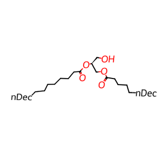 CCCCCCCCCCCCCCCCCC(=O)O[C@@H](CO)COC(=O)CCCCCCCCCCCCCC